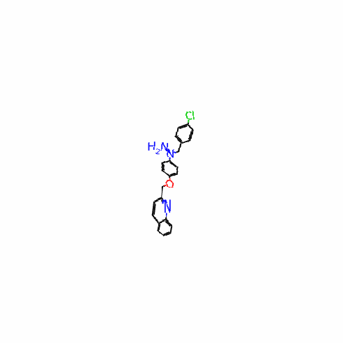 NN(Cc1ccc(Cl)cc1)c1ccc(OCc2ccc3ccccc3n2)cc1